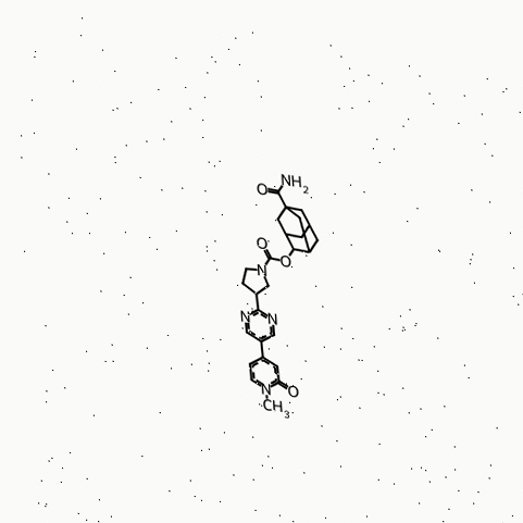 Cn1ccc(-c2cnc(C3CCN(C(=O)OC4C5CC6CC4CC(C(N)=O)(C6)C5)C3)nc2)cc1=O